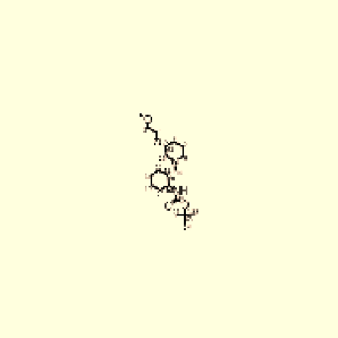 COCCO[C@@H]1CCCN(C[C@H]2CCCCC2NC(=O)OC(C)(C)C)C1